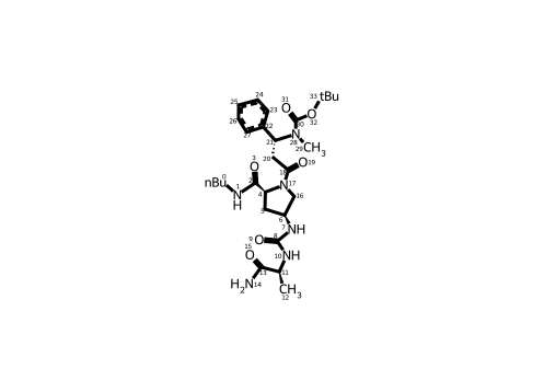 CCCCNC(=O)[C@@H]1C[C@H](NC(=O)N[C@@H](C)C(N)=O)CN1C(=O)C[C@H](c1ccccc1)N(C)C(=O)OC(C)(C)C